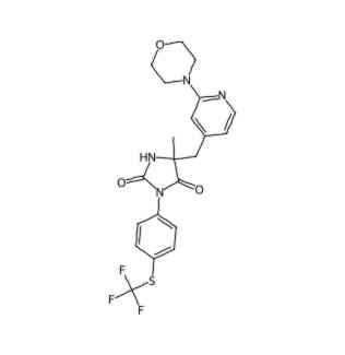 CC1(Cc2ccnc(N3CCOCC3)c2)NC(=O)N(c2ccc(SC(F)(F)F)cc2)C1=O